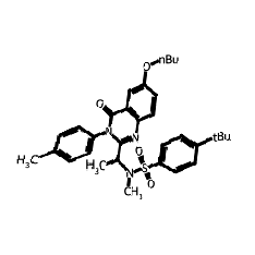 CCCCOc1ccc2nc(C(C)N(C)S(=O)(=O)c3ccc(C(C)(C)C)cc3)n(-c3ccc(C)cc3)c(=O)c2c1